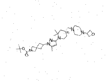 Cc1cc(N2CC[C@@H](CN3CCN(C4COC4)CC3)CC2(C)C)nn1C1CC2(C1)CN(C(=O)OC(C)(C)C)C2